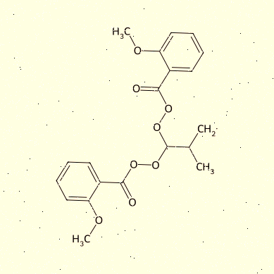 [CH2]C(C)[C](OOC(=O)c1ccccc1OC)OOC(=O)c1ccccc1OC